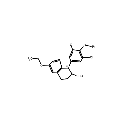 CC(C)Oc1c(Cl)cc([C@@H]2c3ccc(OCC(F)(F)F)cc3CCN2C=O)cc1Cl